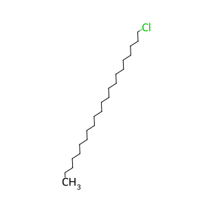 CCCCCCCCCCCCCCCCCCCCCCCl